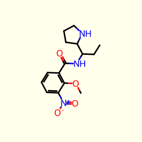 CCC(NC(=O)c1cccc([N+](=O)[O-])c1OC)C1CCCN1